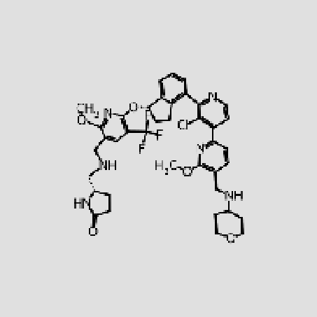 COc1nc(-c2ccnc(-c3cccc4c3CC[C@@H]4Oc3nc(OC)c(CNC[C@@H]4CCC(=O)N4)cc3C(F)(F)F)c2Cl)ccc1CNC1CCOCC1